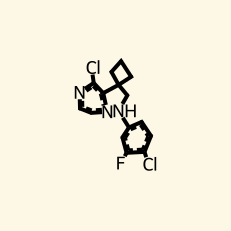 Fc1cc(NCC2(c3nccnc3Cl)CCC2)ccc1Cl